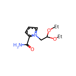 CCOC(Cn1cccc1C(N)=O)OCC